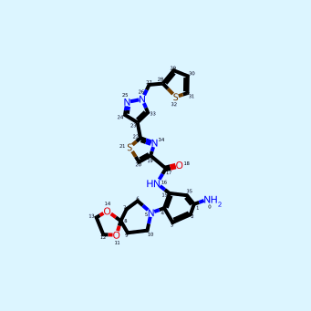 Nc1ccc(N2CCC3(CC2)OCCO3)c(NC(=O)c2csc(-c3cnn(Cc4cccs4)c3)n2)c1